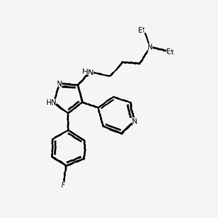 CCN(CC)CCCNc1n[nH]c(-c2ccc(F)cc2)c1-c1ccncc1